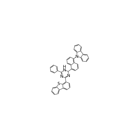 c1ccc(C2=NC(c3cccc4c3sc3ccccc34)=NC(c3cccc4c(-n5c6ccccc6c6ccccc65)cccc34)N2)cc1